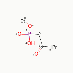 CCOP(=O)(O)CC(=O)C(C)C